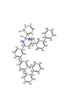 CC1CC=CC=C1C1(C)N=C(c2cccc(-c3ccc4c5ccccc5c5ccccc5c4c3)c2)C=C(c2cccc(-c3ccccc3)c2)N1